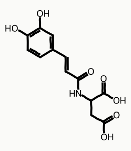 O=C(O)CC(NC(=O)C=Cc1ccc(O)c(O)c1)C(=O)O